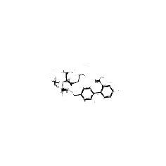 CCCc1c(C(=O)O)n(C(C)(C)C)c(=O)n1Cc1ccc(-c2ccccc2C(=O)O)cc1